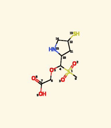 CS(=O)(=O)C(OCC(=O)O)C1CC(S)CN1